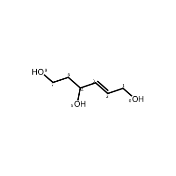 OCC=CC(O)CCO